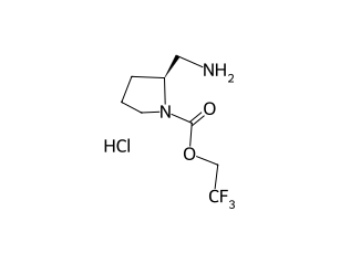 Cl.NC[C@@H]1CCCN1C(=O)OCC(F)(F)F